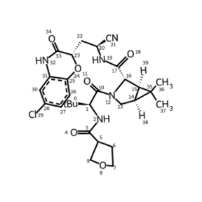 CC(C)(C)[C@H](NC(=O)C1CCOC1)C(=O)N1C[C@H]2[C@@H]([C@H]1C(=O)N[C@H](C#N)C[C@@H]1Oc3ccc(Cl)cc3NC1=O)C2(C)C